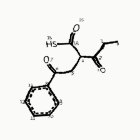 CCC(=O)C(CC(=O)c1ccccc1)C(=O)S